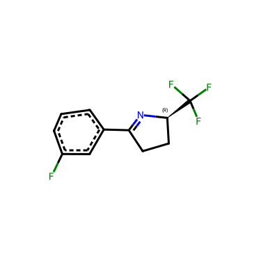 Fc1cccc(C2=N[C@@H](C(F)(F)F)CC2)c1